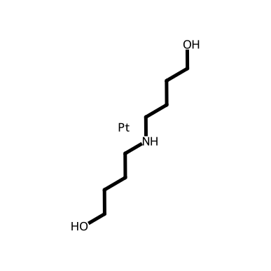 OCCCCNCCCCO.[Pt]